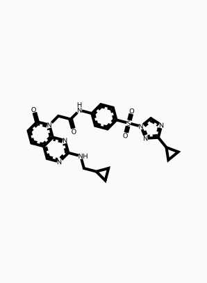 O=C(Cn1c(=O)ccc2cnc(NCC3CC3)nc21)Nc1ccc(S(=O)(=O)n2cnc(C3CC3)n2)cc1